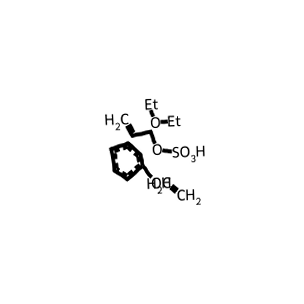 C=C.C=CCOS(=O)(=O)O.CCOCC.Oc1ccccc1